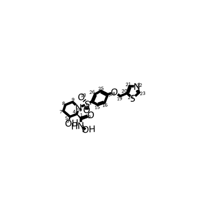 O=C(NO)[C@H]1[C@@H](O)CCCN1S(=O)(=O)c1ccc(OCc2cncs2)cc1